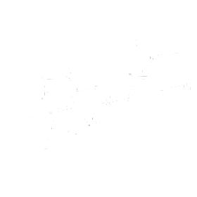 Cc1ccc(NC(=O)c2nccc(C(F)(F)F)c2C)cc1[N+](=O)[O-]